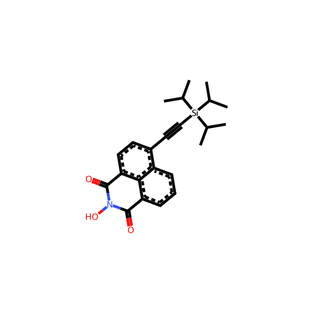 CC(C)[Si](C#Cc1ccc2c3c(cccc13)C(=O)N(O)C2=O)(C(C)C)C(C)C